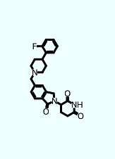 O=C1CCC(N2Cc3cc(CN4CCC(c5ccccc5F)CC4)ccc3C2=O)C(=O)N1